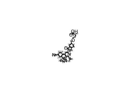 CN(CCOCc1ccc2c(c1)C(=O)N(c1cc(-c3ccc(C#N)cc3-c3nncn3C)cc(C3CC3)n1)C2)C(=O)O